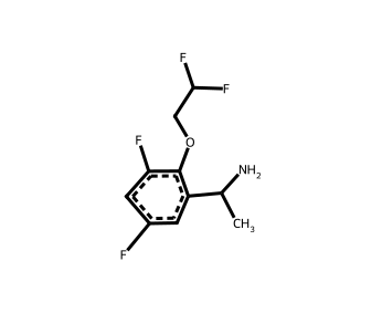 CC(N)c1cc(F)cc(F)c1OCC(F)F